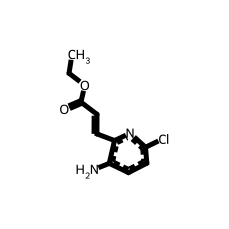 CCOC(=O)/C=C/c1nc(Cl)ccc1N